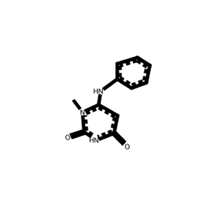 Cn1c(Nc2ccccc2)cc(=O)[nH]c1=O